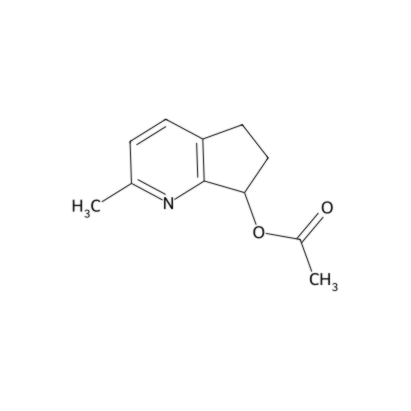 CC(=O)OC1CCc2ccc(C)nc21